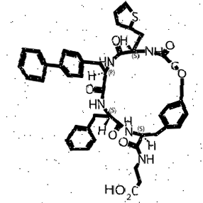 O=C(O)CCNC(=O)[C@@H]1Cc2ccc(cc2)OCC(=O)N[C@@H](CC2CC=CS2)C(=O)N[C@H](Cc2ccc(-c3ccccc3)cc2)C(=O)N[C@@H](Cc2ccccc2)C(=O)N1